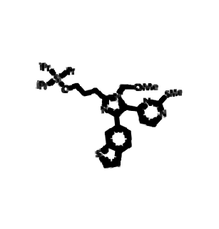 COCn1c(CCCO[Si](C(C)C)(C(C)C)C(C)C)nc(-c2ccc3ccsc3c2)c1-c1ccnc(SC)n1